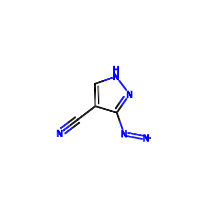 [N]=Nc1n[nH]cc1C#N